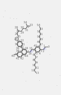 C/C=C/c1cc(CCCCCCCC)c(/C=C/c2cc(-c3ccc(OCCC(C)CCCC(C)C)cc3)c3cc(C)ccc3c2)cc1CCCCCCCC